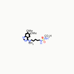 COc1cc2ncnc(N(C)CCCCCNS(=O)(=O)NC(=O)O)c2cc1OC